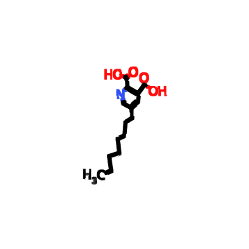 CCCCCCCCc1cnc(C(=O)O)c(C(=O)O)c1